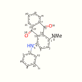 CNc1ccc(Nc2cccc(C)c2)c2c1C(=O)c1ccccc1C2=O